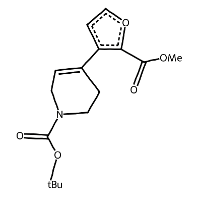 COC(=O)c1occc1C1=CCN(C(=O)OC(C)(C)C)CC1